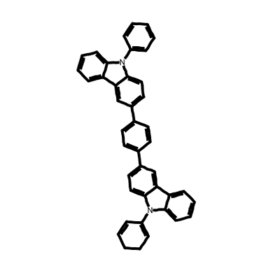 C1=CC(n2c3ccccc3c3cc(-c4ccc(-c5ccc6c(c5)c5ccccc5n6-c5ccccc5)cc4)ccc32)=CCC1